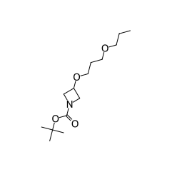 CCCOCCCOC1CN(C(=O)OC(C)(C)C)C1